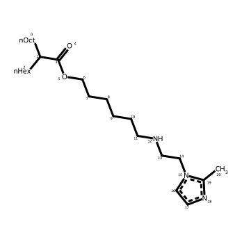 CCCCCCCCC(CCCCCC)C(=O)OCCCCCCNCCn1ccnc1C